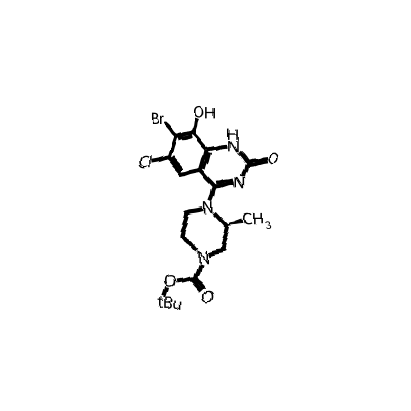 C[C@H]1CN(C(=O)OC(C)(C)C)CCN1c1nc(=O)[nH]c2c(O)c(Br)c(Cl)cc12